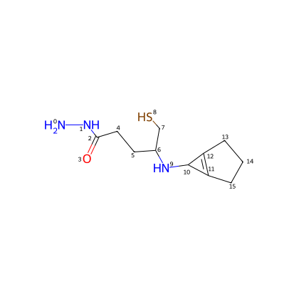 NNC(=O)CCC(CS)NC1C2=C1CCC2